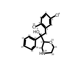 OC(Cc1cc(Cl)ccc1Cl)(c1ccccc1)C1CNCCO1